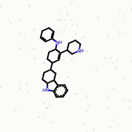 C1=CC(NC2CCC(C3CCC4Nc5ccccc5C4C3)C=C2C2CCCNC2)=CCC1